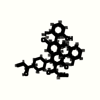 C=CC(=O)N1CCC(c2c(C(=O)NC)c(=O)n(-c3c(C)ccnc3C(C)C)c3c(F)c(-c4c(O)cccc4F)c(Cl)cc23)CC1